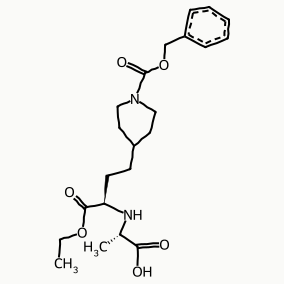 CCOC(=O)[C@@H](CCC1CCN(C(=O)OCc2ccccc2)CC1)N[C@@H](C)C(=O)O